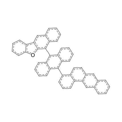 c1ccc2cc3c(ccc4c(-c5c6ccccc6c(-c6c7ccccc7cc7c6oc6ccccc67)c6ccccc56)cccc43)cc2c1